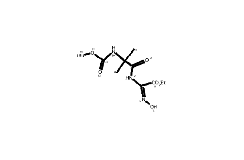 CCOC(=O)/C(=N\O)NC(=O)C(C)(C)NC(=O)OC(C)(C)C